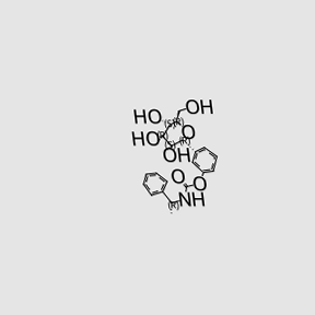 C[C@@H](NC(=O)Oc1cccc([C@H]2O[C@H](CO)[C@@H](O)[C@H](O)[C@@H]2O)c1)c1ccccc1